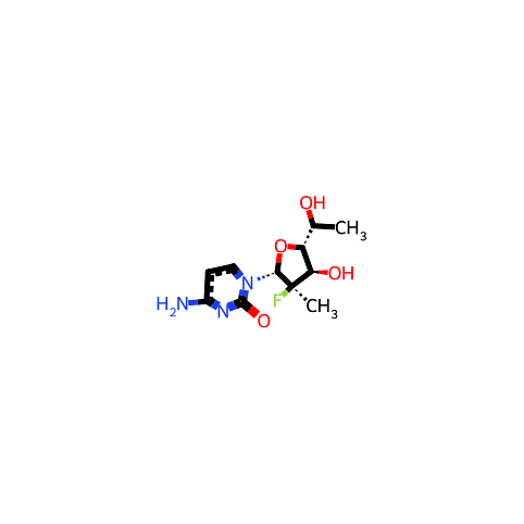 CC(O)[C@H]1O[C@@H](n2ccc(N)nc2=O)[C@](C)(F)[C@@H]1O